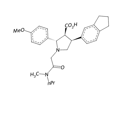 CCCN(C)C(=O)CN1C[C@H](c2ccc3c(c2)CCC3)[C@H](C(=O)O)[C@H]1c1ccc(OC)cc1